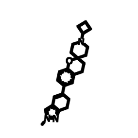 Cn1cc2c(n1)CCC(c1ccc3c(c1)CCC1(CCN(C4CCC4)CC1)O3)=C2